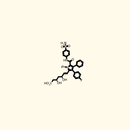 CC(C)n1c(/C=C/[C@@H](O)C[C@@H](O)CC(=O)O)c(-c2ccc(F)cc2)c(-c2ccccc2)c1C(=O)Nc1ccc(S(N)(=O)=O)cc1